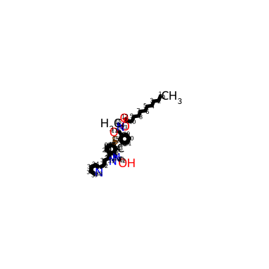 CCCCCCCCCCCC(=O)ON(C)C(=O)c1cccc(C)c1Sc1ccc2c(/C=C/c3ccccn3)nn(CO)c2c1